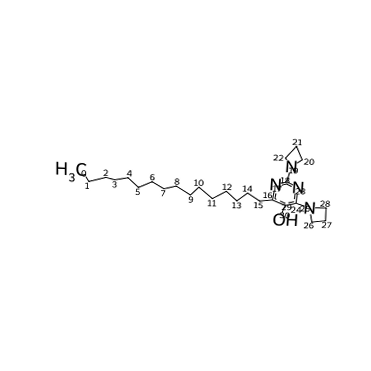 CCCCCCCCCCCCCCCCc1nc(N2CCC2)nc(N2CCC2)c1O